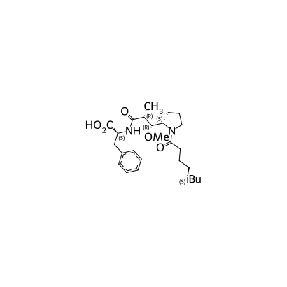 CC[C@H](C)CCCC(=O)N1CCC[C@H]1[C@H](OC)[C@@H](C)C(=O)N[C@@H](Cc1ccccc1)C(=O)O